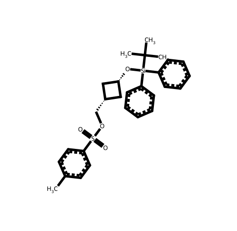 Cc1ccc(S(=O)(=O)OC[C@H]2C[C@@H](O[Si](c3ccccc3)(c3ccccc3)C(C)(C)C)C2)cc1